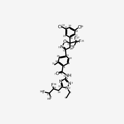 CCn1nc(NC(=O)c2ccc(C3=NOC(c4cc(Cl)cc(Cl)c4)(C(F)(F)F)C3)cc2C)nc1CC(F)C(F)F